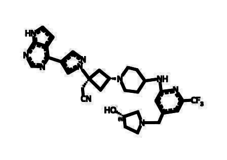 N#CC[C@]1(n2cc(-c3ncnc4[nH]ccc34)cn2)C[C@H](N2CCC(Nc3cc(CN4CC[C@H](O)C4)cc(C(F)(F)F)n3)CC2)C1